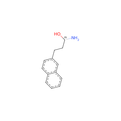 N[C@@H](O)CCc1ccc2ccccc2c1